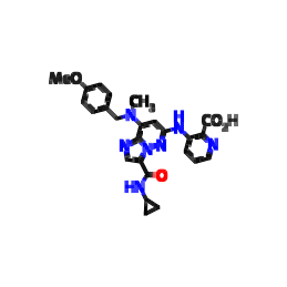 COc1ccc(CN(C)c2cc(Nc3cccnc3C(=O)O)nn3c(C(=O)NC4CC4)cnc23)cc1